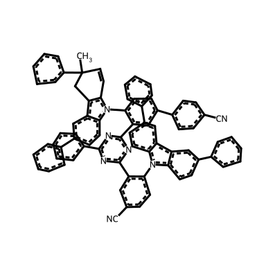 CC1(c2ccccc2)C=Cc2c(c3cc(-c4ccccc4)ccc3n2-c2ccc(-c3ccc(C#N)cc3)cc2-c2nc(-c3ccccc3)nc(-c3cc(C#N)ccc3-n3c4ccc(-c5ccccc5)cc4c4cc(-c5ccccc5)ccc43)n2)C1